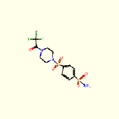 NS(=O)(=O)c1ccc(S(=O)(=O)N2CCN(C(=O)C(F)(F)F)CC2)cc1